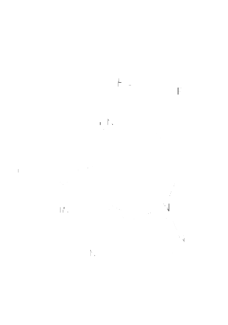 CC(=O)Nc1cc2c(cn1)cnn2-c1cccc(C(N)C(F)(F)F)c1